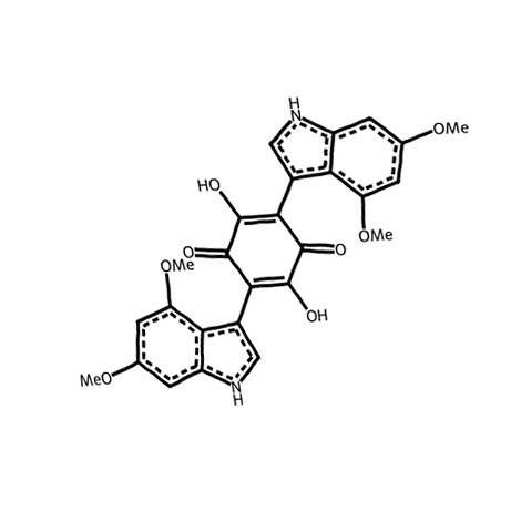 COc1cc(OC)c2c(C3=C(O)C(=O)C(c4c[nH]c5cc(OC)cc(OC)c45)=C(O)C3=O)c[nH]c2c1